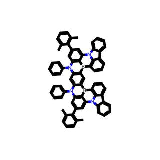 Cc1cccc(C)c1-c1cc2c3c(c1)-n1c4ccccc4c4cccc(c41)B3c1cc3c(cc1N2c1ccccc1)N(c1ccccc1)c1cc(-c2c(C)cccc2C)cc2c1B3c1cccc3c4ccccc4n-2c13